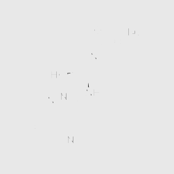 CC(C)(C)OC(=O)N1C[C@H](O)[C@H](Nc2nnc(Cl)c3ncccc23)C1